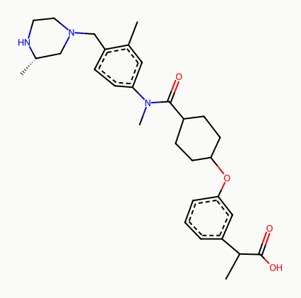 Cc1cc(N(C)C(=O)C2CCC(Oc3cccc(C(C)C(=O)O)c3)CC2)ccc1CN1CCN[C@@H](C)C1